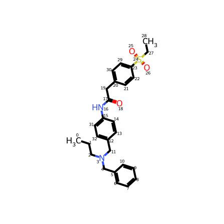 CCCN(Cc1ccccc1)Cc1ccc(NC(=O)Cc2ccc(S(=O)(=O)CC)cc2)cc1